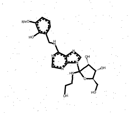 COc1cccc(CNc2ncnc3c2ncn3C2(NCCO)O[C@H](CO)[C@@H](O)[C@H]2O)c1O